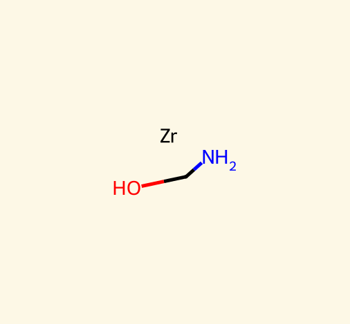 NCO.[Zr]